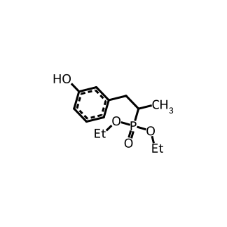 CCOP(=O)(OCC)C(C)Cc1cccc(O)c1